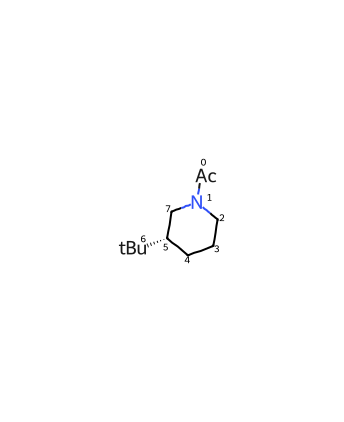 CC(=O)N1CCC[C@H](C(C)(C)C)C1